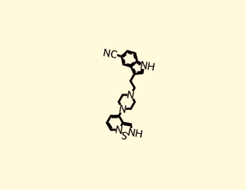 N#Cc1ccc2[nH]cc(CCN3CCN(C4=CC=CN5SNC=C45)CC3)c2c1